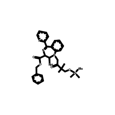 CC(C)(CO[Si](C)(C)C(C)(C)C)C(=O)CN1c2ccccc2C(c2ccccn2)=NC(C(=O)OCc2ccccc2)C1N